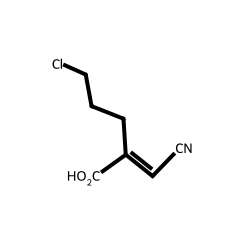 N#CC=C(CCCCl)C(=O)O